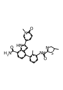 Cc1c(NC(=O)C2=NCC(C)S2)cccc1-c1ccc(C(N)=O)c2[nH]c(-c3ccc(=O)n(C)c3)cc12